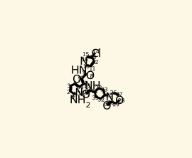 Nc1ccc2oc(C(=O)Nc3ccc(Cl)cn3)c(NC(=O)C3CCC(N4CCOCC4=O)CC3)c2n1